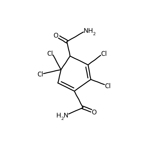 NC(=O)C1=CC(Cl)(Cl)C(C(N)=O)C(Cl)=C1Cl